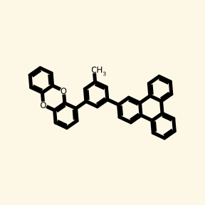 Cc1cc(-c2ccc3c4ccccc4c4ccccc4c3c2)cc(-c2cccc3c2Oc2ccccc2O3)c1